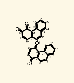 O=C1C=CC(=O)c2c1ccc1ccccc21.O=C1C=Cc2ccc3ccccc3c2C1=O